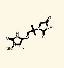 C[C@H]1C(OCC(C)(C)N2CC(=O)NC2=O)NC(=O)N1C(C)(C)C